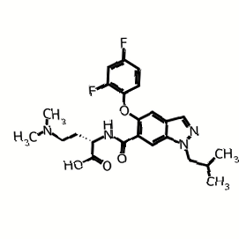 CC(C)Cn1ncc2cc(Oc3ccc(F)cc3F)c(C(=O)N[C@@H](CCN(C)C)C(=O)O)cc21